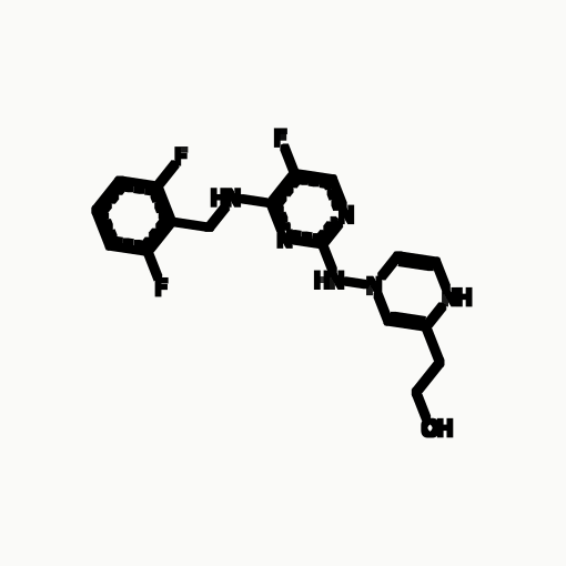 OCCC1=CN(Nc2ncc(F)c(NCc3c(F)cccc3F)n2)C=CN1